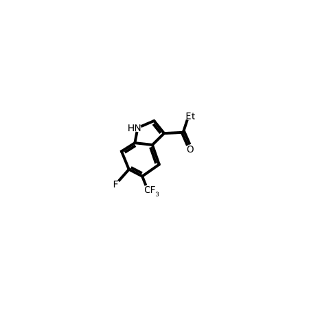 CCC(=O)c1c[nH]c2cc(F)c(C(F)(F)F)cc12